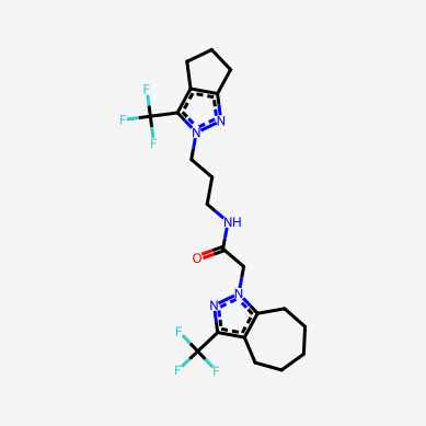 O=C(Cn1nc(C(F)(F)F)c2c1CCCCC2)NCCCn1nc2c(c1C(F)(F)F)CCC2